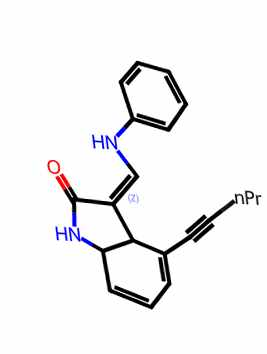 CCCC#CC1=CC=CC2NC(=O)/C(=C\Nc3ccccc3)C12